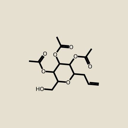 C=CCC1OC(CO)C(OC(C)=O)C(OC(C)=O)C1OC(C)=O